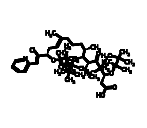 CC[C@@H](C(=O)C(C)(C)[C@H](CC(=O)O)O[Si](C)(C)C(C)(C)C)[C@@H](O[Si](C)(C)C(C)(C)C)[C@@H](C)CCC/C(C)=C/C[C@H](O[Si](C)(C)C(C)(C)C)/C(Cl)=C/c1ccccn1